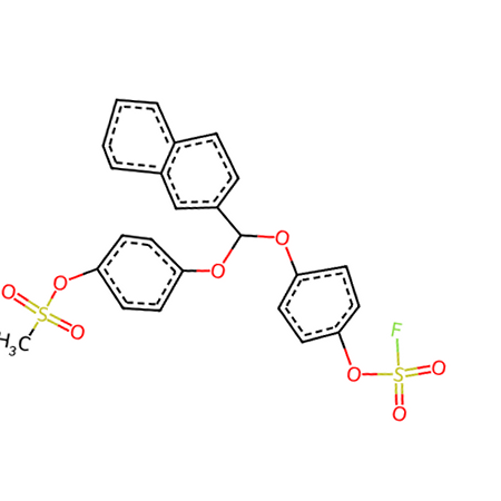 CS(=O)(=O)Oc1ccc(OC(Oc2ccc(OS(=O)(=O)F)cc2)c2ccc3ccccc3c2)cc1